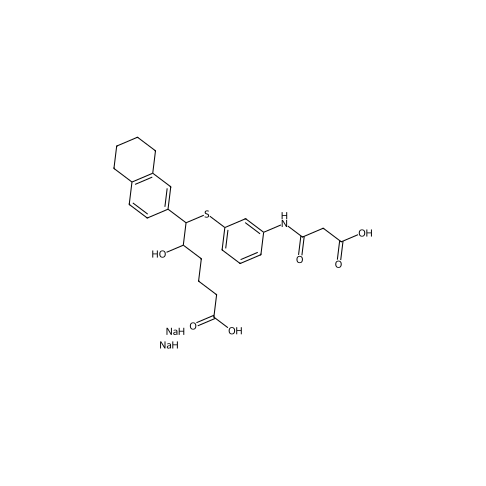 O=C(O)CCCC(O)C(Sc1cccc(NC(=O)CC(=O)O)c1)c1ccc2c(c1)CCCC2.[NaH].[NaH]